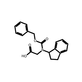 O=C(O)CN(C(=O)OCc1ccccc1)C1CCc2ccccc21